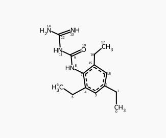 CCc1cc(CC)c(NC(=O)NC(=N)N)c(CC)c1